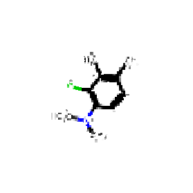 Cc1ccc(N(C)C(=O)O)c(Cl)c1C